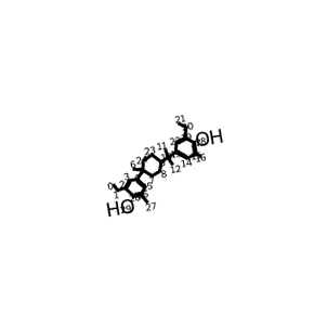 CCc1cc(C2(C)CCC(C(C)(C)c3cc(C)c(O)c(CC)c3)CC2)cc(C)c1O